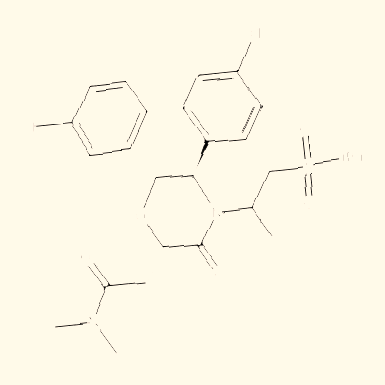 CC(CS(=O)(=O)C(C)(C)C)N1C(=O)[C@H](CC(=O)N(C)C)O[C@H](c2cccc(Cl)c2)[C@H]1c1ccc(Cl)cc1